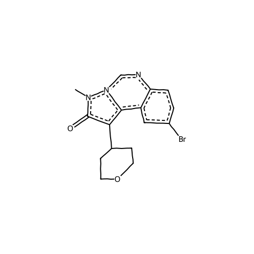 Cn1c(=O)c(C2CCOCC2)c2c3cc(Br)ccc3ncn21